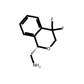 NC[C@H]1OCC(F)(F)c2ccccc21